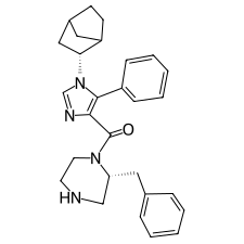 O=C(c1ncn([C@@H]2CC3CCC2C3)c1-c1ccccc1)N1CCNC[C@H]1Cc1ccccc1